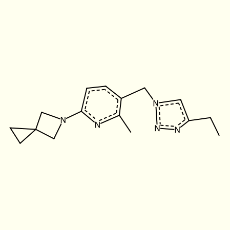 CCc1cn(Cc2ccc(N3CC4(CC4)C3)nc2C)nn1